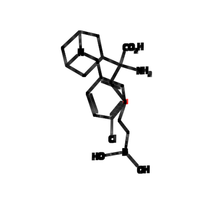 NC(CCCCB(O)O)(C(=O)O)C1CC2CC(C1)N2Cc1ccc(Cl)cc1